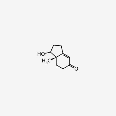 C[C@]12CCC(=O)C=C1CCC2O